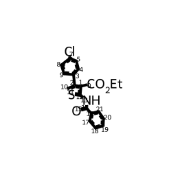 CCOC(=O)c1c(-c2ccc(Cl)cc2)csc1NC(=O)c1ccccc1